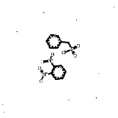 O=S(=O)(Cl)Cc1ccccc1.O=[N+]([O-])c1ccccc1[N+](=O)[O-]